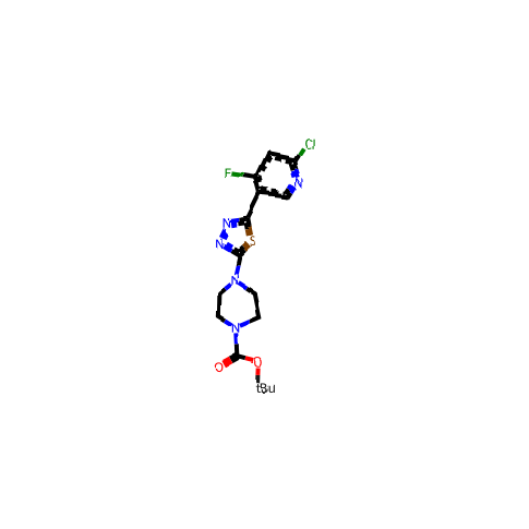 CC(C)(C)OC(=O)N1CCN(c2nnc(-c3cnc(Cl)cc3F)s2)CC1